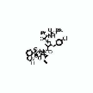 C=C[C@@H]1C[C@]1(NC(=O)C1CN(C(=O)[C@@H](NC(=O)OC(C)(C)C)C(C)C)C[C@H]1Cc1ccc(Cl)cc1)C(=O)NS(=O)(=O)c1cccc2c1NCC2